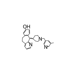 Cc1cncc(CN2CCC(=C3c4ccc(O)cc4CCc4cccnc43)CC2)c1